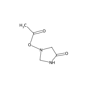 CC(=O)ON1CNC(=O)C1